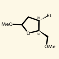 CC[C@H]1CC(OC)O[C@@H]1COC